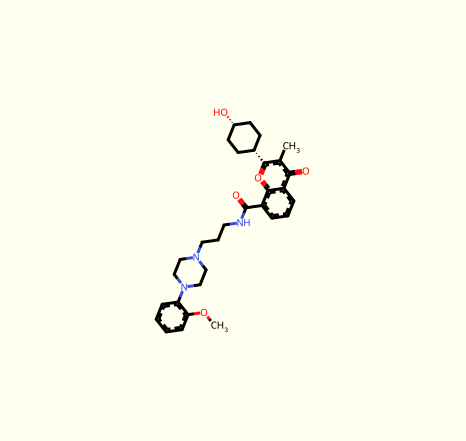 COc1ccccc1N1CCN(CCCNC(=O)c2cccc3c(=O)c(C)c([C@H]4CC[C@@H](O)CC4)oc23)CC1